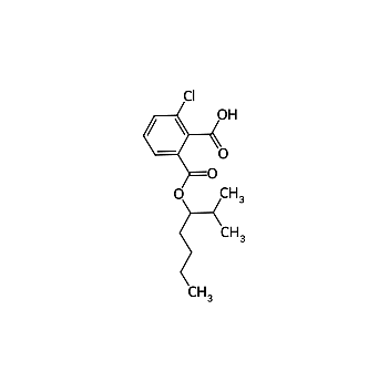 CCCCC(OC(=O)c1cccc(Cl)c1C(=O)O)C(C)C